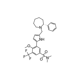 COc1c(-c2ccc(CN3CCCCC[C@@H]3c3ccccc3)[nH]2)cc(S(=O)(=O)N(C)C)cc1C(F)(F)F